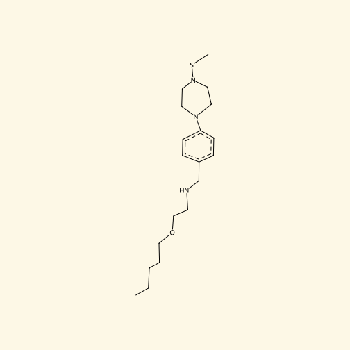 CCCCCOCCNCc1ccc(N2CCN(SC)CC2)cc1